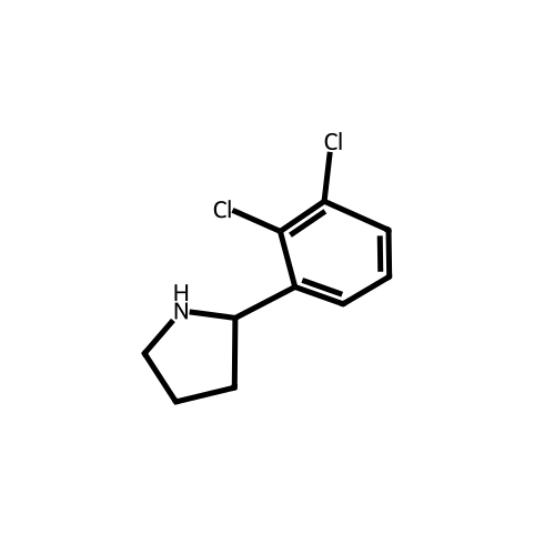 Clc1cccc(C2CCCN2)c1Cl